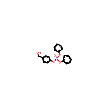 O=P(Oc1ccccc1)(Oc1ccccc1)Oc1ccc(CO)cc1